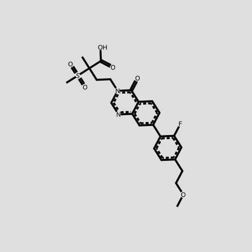 COCCc1ccc(-c2ccc3c(=O)n(CCC(C)(C(=O)O)S(C)(=O)=O)cnc3c2)c(F)c1